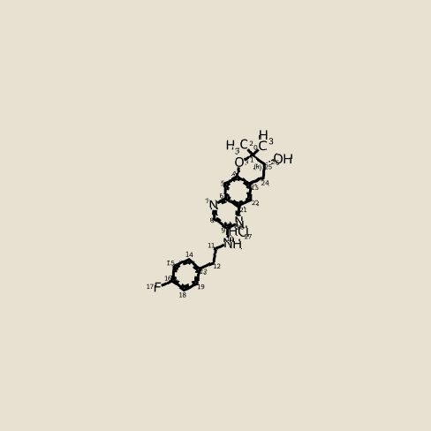 CC1(C)Oc2cc3ncc(NCCc4ccc(F)cc4)nc3cc2C[C@H]1O.Cl